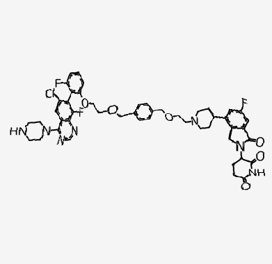 O=C1CCC(N2Cc3c(cc(F)cc3C3CCN(CCOCc4ccc(COCCOc5cccc(F)c5-c5c(Cl)cc6c(N7CCNCC7)ncnc6c5F)cc4)CC3)C2=O)C(=O)N1